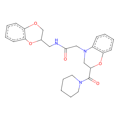 O=C(CN1CC(C(=O)N2CCCCC2)Oc2ccccc21)NCC1COc2ccccc2O1